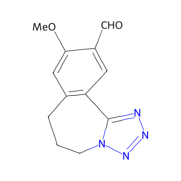 COc1cc2c(cc1C=O)-c1nnnn1CCC2